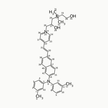 Cc1cccc(N(c2cccc(C)c2)c2ccc3cc(/C=C/c4cc[n+](CC(O)C[N+](C)(C)CCO)cc4)ccc3c2)c1